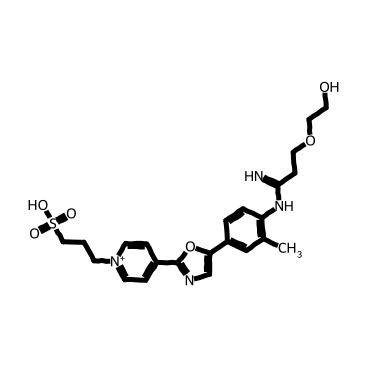 Cc1cc(-c2cnc(-c3cc[n+](CCCS(=O)(=O)O)cc3)o2)ccc1NC(=N)CCOCCO